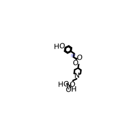 O=C(/C=C/c1ccc(O)cc1)OCC1CCN(CCON(O)O)CC1